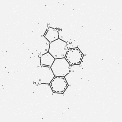 Cc1cccc(F)c1C1=NOC(C2C=NNC2C)C1c1ncccn1